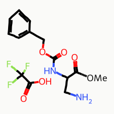 COC(=O)C(CN)NC(=O)OCc1ccccc1.O=C(O)C(F)(F)F